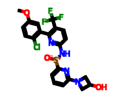 COc1ccc(Cl)c(-c2nc(N[S+]([O-])c3cccc(N4CC(O)C4)n3)ccc2C(F)(F)F)c1